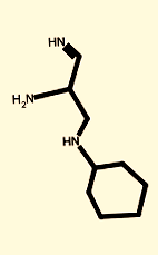 N=CC(N)CNC1CCCCC1